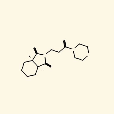 O=C(CCN1C(=O)[C@H]2CCCC[C@@H]2C1=O)N1CCNCC1